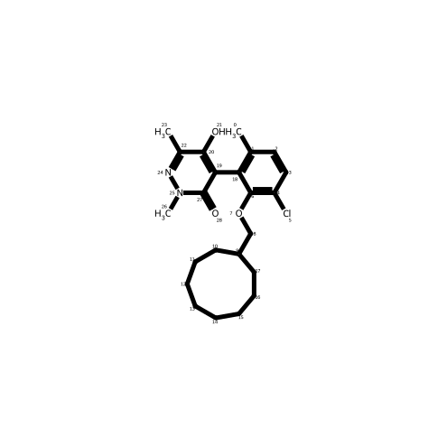 Cc1ccc(Cl)c(OCC2CCCCCCCC2)c1-c1c(O)c(C)nn(C)c1=O